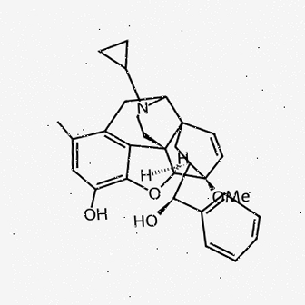 CO[C@]12C=CC3(C[C@@H]1[C@H](O)c1ccccc1)C1Cc4c(C)cc(O)c5c4[C@@]3(CCN1C1CC1)[C@@H]2O5